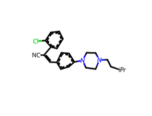 CC(C)CCN1CCN(c2ccc(C=C(C#N)c3ccccc3Cl)cc2)CC1